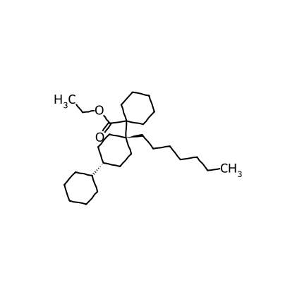 CCCCCCC[C@]1(C2(C(=O)OCC)CCCCC2)CC[C@@H](C2CCCCC2)CC1